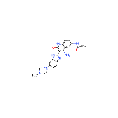 CN1CCN(c2ccc3nc(-c4c(N)c5cc(NC(=O)C(C)(C)C)ccc5[nH]c4=O)[nH]c3c2)CC1